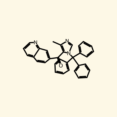 Cc1ncn(C(c2ccccc2)(c2ccccc2)c2ccccc2)c1C(=O)c1ccc2cccnc2c1